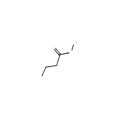 C[CH]COC(=O)CCCCCC